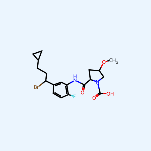 COC1CC(C(=O)Nc2cc(C(Br)CCC3CC3)ccc2F)N(C(=O)O)C1